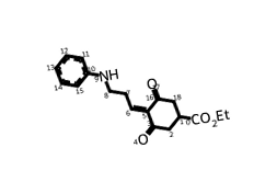 CCOC(=O)C1CC(=O)C(=CCCNc2ccccc2)C(=O)C1